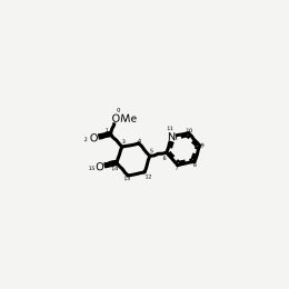 COC(=O)C1CC(c2ccccn2)CCC1=O